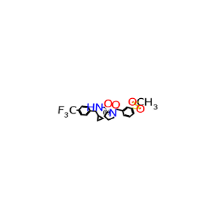 CS(=O)(=O)c1cccc(C(=O)N2CCC[C@@H]2C(=O)NC(c2ccc(C(F)(F)F)cc2)C2CC2)c1